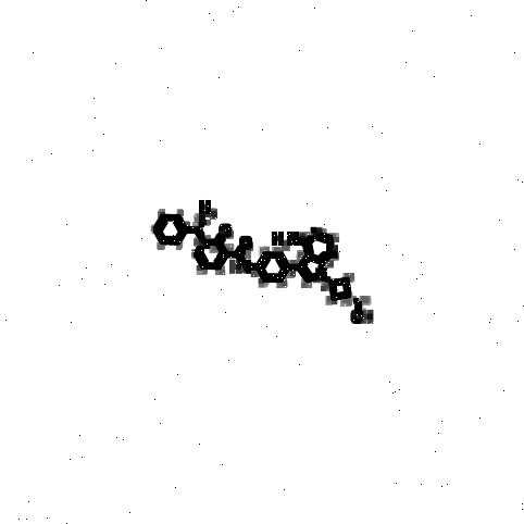 C[C@@H](c1ccccc1)n1cccc(C(=O)Nc2ccc(-c3cn([C@H]4C[C@@H](CO)C4)c4ncnc(N)c34)cc2)c1=O